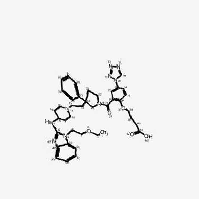 CCOCCn1c(NC2CCN(CCC3(c4ccccc4)CCN(C(=O)c4cc(-n5cnnn5)ccc4OCCCC(=O)O)C3)CC2)nc2ccccc21